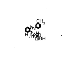 Cc1cccc(N=Nc2ccccc2CN)c1.N#N.O=S(=O)(O)O